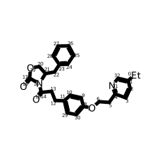 CCc1ccc(CCOc2ccc(CCC(=O)N3C(=O)OCC3Cc3ccccc3)cc2)nc1